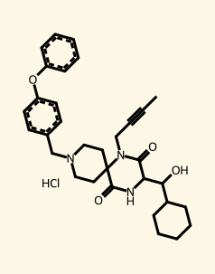 CC#CCN1C(=O)C(C(O)C2CCCCC2)NC(=O)C12CCN(Cc1ccc(Oc3ccccc3)cc1)CC2.Cl